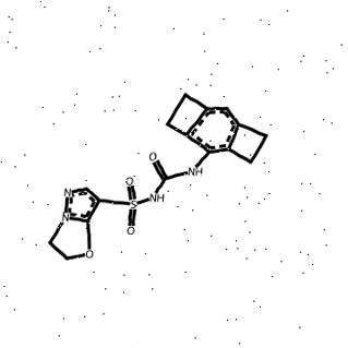 O=C(Nc1c2c(cc3c1CC3)CC2)NS(=O)(=O)c1cnn2c1OCC2